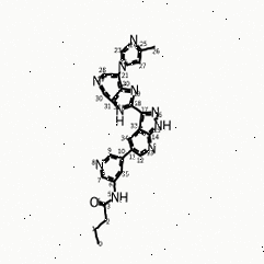 CCCC(=O)Nc1cncc(-c2cnc3[nH]nc(-c4nc5c(-n6cnc(C)c6)cncc5[nH]4)c3c2)c1